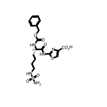 NS(=O)(=O)NCCCC[C@H](NC(=O)OCc1ccccc1)C(=O)Nc1nc(C(=O)O)cs1